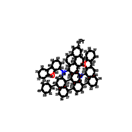 CC(C)c1cc2ccc3c(N(c4cc(-c5ccccc5)ccc4-c4ccccc4)c4cccc5c4oc4ccccc45)cc(N(c4cc(-c5ccccc5)ccc4-c4ccccc4)c4cccc5c4oc4ccccc45)c4ccc(c1)c2c34